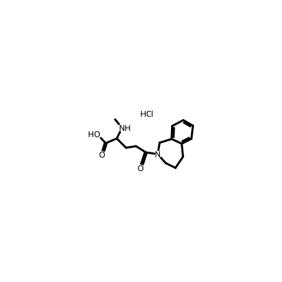 CNC(CCC(=O)N1CCCc2ccccc2C1)C(=O)O.Cl